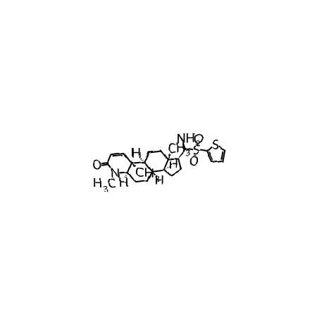 CN1C(=O)C=C[C@]2(C)[C@H]3CC[C@]4(C)[C@@H](C(N)S(=O)(=O)c5cccs5)CC[C@H]4[C@@H]3CC[C@@H]12